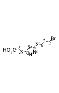 O=C(O)CSc1nnc(SCCCBr)s1